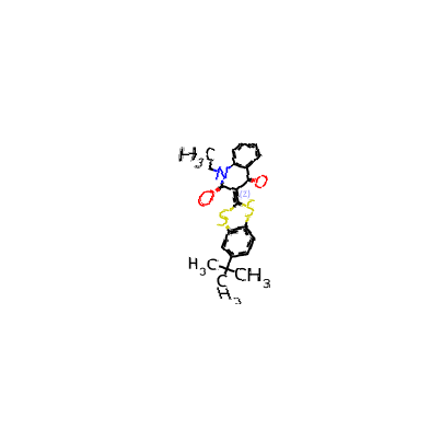 CCN1C(=O)/C(=C2/Sc3ccc(C(C)(C)C)cc3S2)C(=O)c2ccccc21